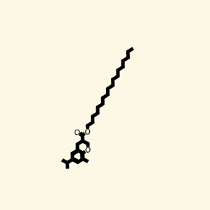 CCCCCCCCCCCCCCCCCCOC(=O)C1COc2c(C)cc(C(C)C)cc2C1